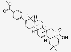 COC(=O)c1ccc(C2=CC[C@]3(C)[C@H]4CC=C5[C@@H]6CC(C)(C)CC[C@]6(C(=O)O)CC[C@@]5(C)[C@]4(C)CC[C@H]3C2(C)C)cc1